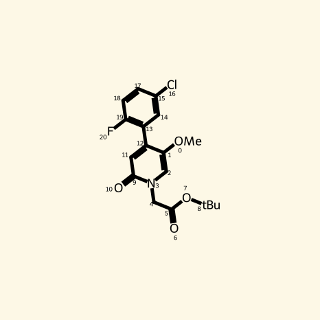 COc1cn(CC(=O)OC(C)(C)C)c(=O)cc1-c1cc(Cl)ccc1F